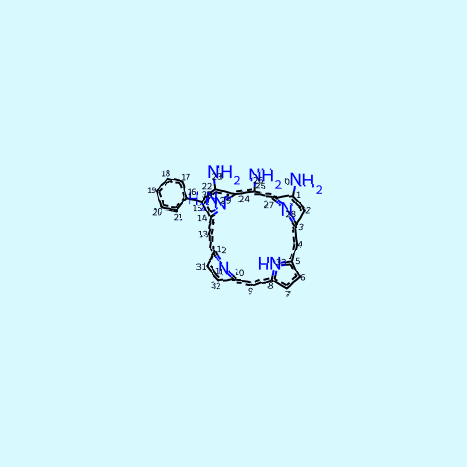 NC1=Cc2cc3ccc(cc4nc(cc5c(-c6ccccc6)c(N)c(c(N)c1n2)n5N)C=C4)[nH]3